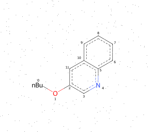 CCCCOc1cnc2ccccc2c1